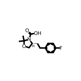 CC1(C)OC[C@@H](CCc2ccc(F)cc2)N1C(=O)O